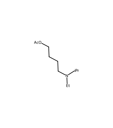 CCN(CCCCOC(C)=O)C(C)C